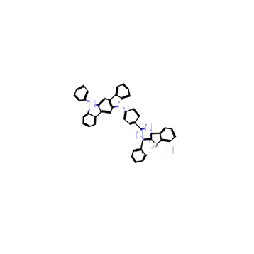 C[Si]1(C)c2ccccc2-c2nc(-c3ccc(-n4c5ccccc5c5cc6c(cc54)c4ccccc4n6-c4ccccc4)cc3)nc(-c3ccccc3)c21